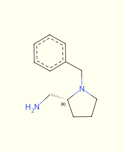 NC[C@H]1CCCN1Cc1ccccc1